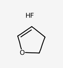 C1=COCC1.F